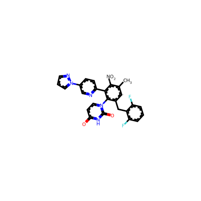 Cc1[c]c(Cc2c(F)cccc2F)c(-n2ccc(=O)[nH]c2=O)c(-c2ccc(-n3cccn3)cn2)c1[N+](=O)[O-]